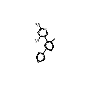 Cc1ccc(-c2ccccc2)cc1-c1cnc(N)nc1N